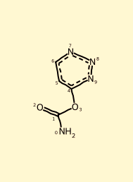 NC(=O)Oc1ccnnn1